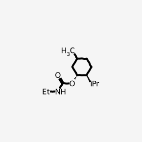 CCNC(=O)O[C@@H]1CC(C)CC[C@H]1C(C)C